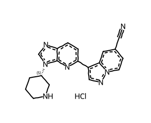 Cl.N#Cc1ccn2ncc(-c3ccc4ncn([C@H]5CCCNC5)c4n3)c2c1